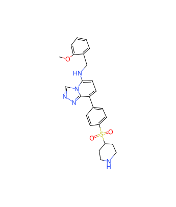 COc1ccccc1CNc1ccc(-c2ccc(S(=O)(=O)C3CCNCC3)cc2)c2nncn12